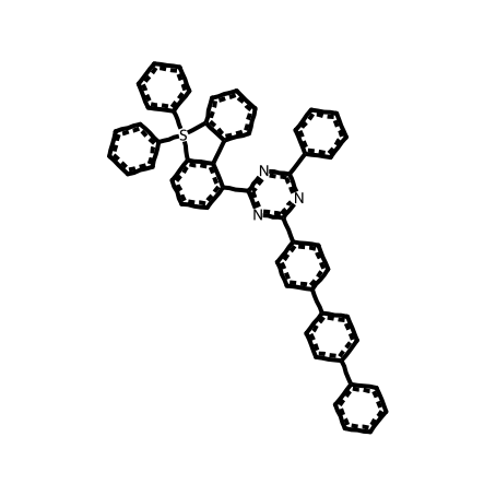 c1ccc(-c2ccc(-c3ccc(-c4nc(-c5ccccc5)nc(-c5cccc6c5-c5ccccc5S6(c5ccccc5)c5ccccc5)n4)cc3)cc2)cc1